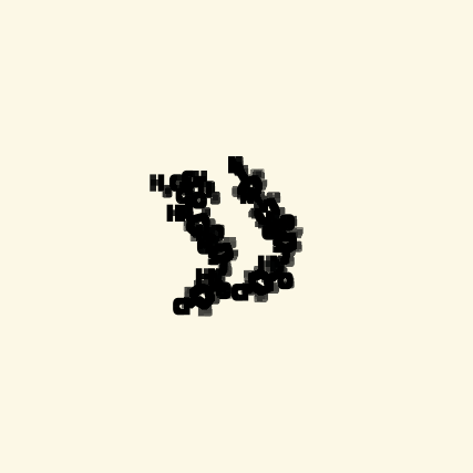 CC(C)(C)OC(=O)NC1CCN(S(=O)(=O)c2ccc(CNC(=O)c3ccc(Cl)cc3)s2)CC1.N#Cc1ccc(N2CCN(S(=O)(=O)c3ccc(CNC(=O)c4ccc(Cl)cc4)s3)CC2)nc1